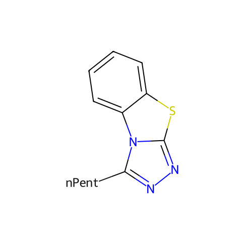 CCCCCc1nnc2sc3ccccc3n12